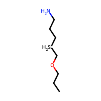 CCCOC[SiH2]CCCN